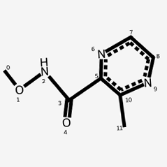 CONC(=O)c1nccnc1C